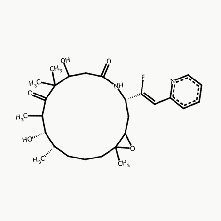 CC1C(=O)C(C)(C)C(O)CC(=O)N[C@H](C(F)=Cc2ccccn2)CC2OC2(C)CCC[C@H](C)[C@@H]1O